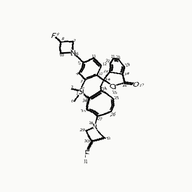 C[Si]1(C)c2cc(N3CC(F)C3)ccc2C2(OC(=O)c3ccccc32)c2ccc(N3CC(F)C3)cc21